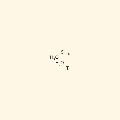 O.O.[SiH4].[Ti]